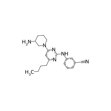 CCCCc1cc(N2CCCC(N)C2)nc(Nc2cccc(C#N)c2)n1